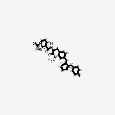 COC(=O)C(Cc1ccc(Cc2ccccc2Cc2ccc(F)cc2)cc1)NC(=O)c1cccn2c(=O)[nH]nc12